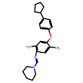 Cc1cc(Oc2ccc(C3CCCC3)cc2)c(C)cc1N=CN1CCCCC1